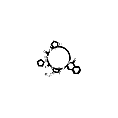 O=C1N[C@@H](C2CCCC2)C(=O)N2C[C@@H](C[C@H]2C(=O)O)Oc2cc3ccccc3c(=O)n2CCCCC[C@@H]2CCC[C@H]2O1